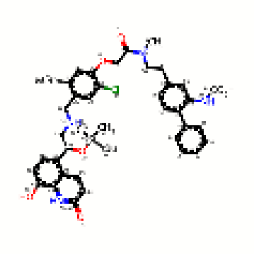 COc1cc(OCC(=O)N(C)CCc2ccc(-c3ccccc3)c(NC(=O)O)c2)c(Cl)cc1CNC[C@@H](O[Si](C)(C)C(C)(C)C)c1ccc(O)c2[nH]c(=O)ccc12